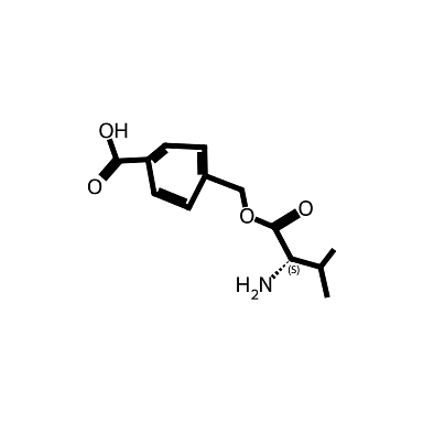 CC(C)[C@H](N)C(=O)OCc1ccc(C(=O)O)cc1